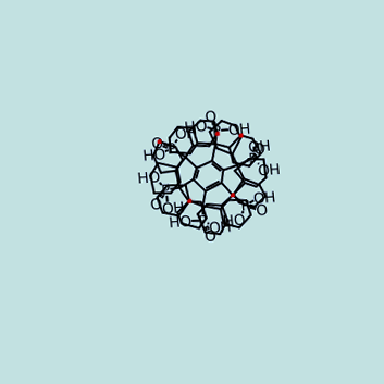 O=P(O)(O)C(c1c(C(C2CCCCC2)(C2CCCCC2)P(=O)(O)O)c(C(C2CCCCC2)(C2CCCCC2)P(=O)(O)O)c(C(C2CCCCC2)(C2CCCCC2)P(=O)(O)O)c(C(C2CCCCC2)(C2CCCCC2)P(=O)(O)O)c1C(C1CCCCC1)(C1CCCCC1)P(=O)(O)O)(C1CCCCC1)C1CCCCC1